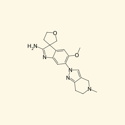 COc1cc2c(cc1-n1cc3c(n1)CCN(C)C3)N=C(N)C21CCOC1